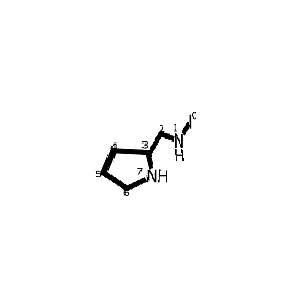 INCC1CCCN1